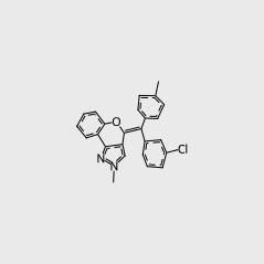 Cc1ccc(/C(=C2\Oc3ccccc3-c3nn(C)cc32)c2cccc(Cl)c2)cc1